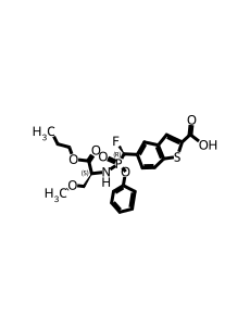 CCCOC(=O)[C@H](COC)NP(=O)(Oc1ccccc1)[C@@H](F)c1ccc2sc(C(=O)O)cc2c1